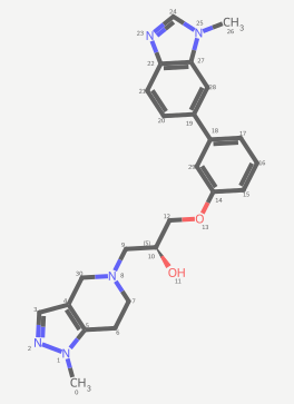 Cn1ncc2c1CCN(C[C@H](O)COc1cccc(-c3ccc4ncn(C)c4c3)c1)C2